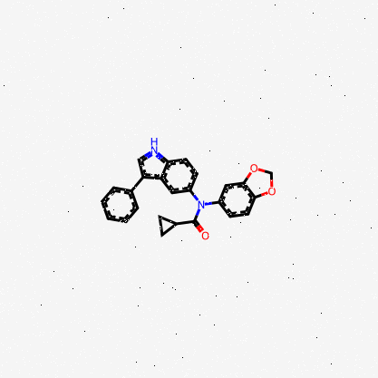 O=C(C1CC1)N(c1ccc2c(c1)OCO2)c1ccc2[nH]cc(-c3ccccc3)c2c1